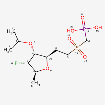 CC(C)O[C@H]1[C@@H](F)[C@H](C)O[C@@H]1CCS(=O)(=O)CP(=O)(O)O